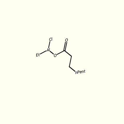 CCCCCCCC(=O)[O][Al]([Cl])[CH2]C